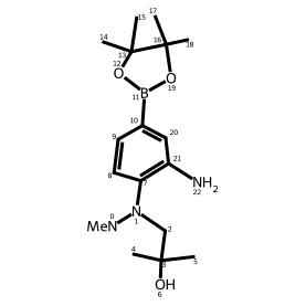 CNN(CC(C)(C)O)c1ccc(B2OC(C)(C)C(C)(C)O2)cc1N